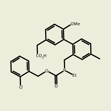 CCN(Cc1cc(C)ccc1-c1cc(CC(=O)O)ccc1OC)C(=O)OCc1ccccc1Cl